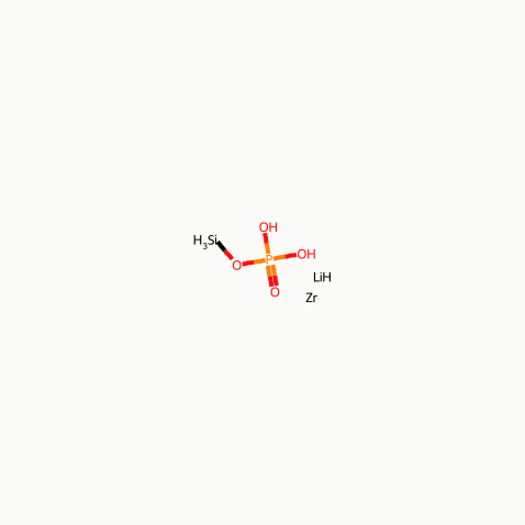 O=P(O)(O)O[SiH3].[LiH].[Zr]